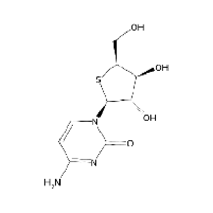 Nc1ccn([C@H]2S[C@@H](CO)[C@@H](O)[C@@H]2O)c(=O)n1